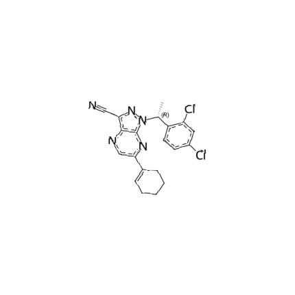 C[C@H](c1ccc(Cl)cc1Cl)n1nc(C#N)c2ncc(C3=CCCCC3)nc21